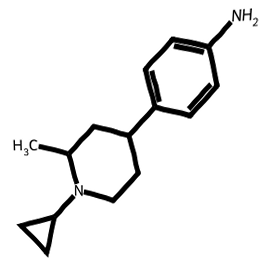 CC1CC(c2ccc(N)cc2)CCN1C1CC1